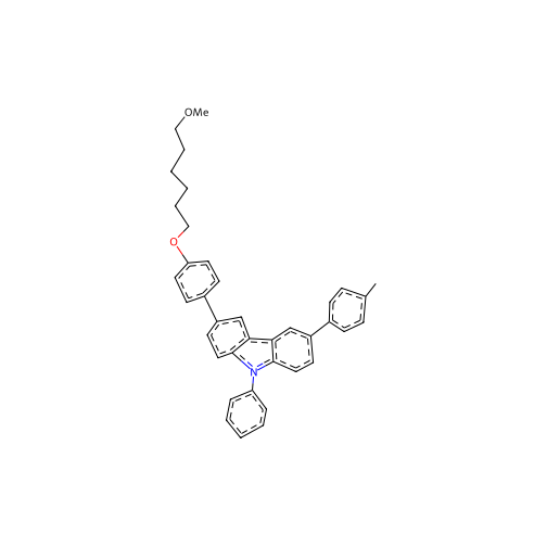 COCCCCCCOc1ccc(-c2ccc3c(c2)c2cc(-c4ccc(C)cc4)ccc2n3-c2ccccc2)cc1